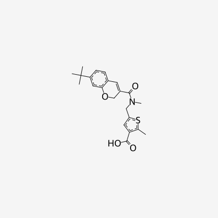 Cc1sc(CN(C)C(=O)C2=Cc3ccc(C(C)(C)C)cc3OC2)cc1C(=O)O